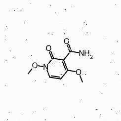 COc1ccn(OC)c(=O)c1C(N)=O